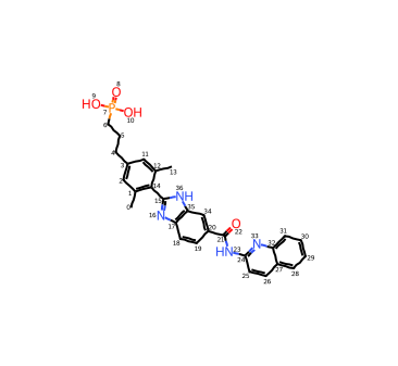 Cc1cc(CCCP(=O)(O)O)cc(C)c1-c1nc2ccc(C(=O)Nc3ccc4ccccc4n3)cc2[nH]1